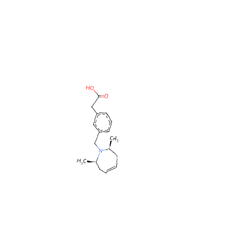 C[C@@H]1CC=CC[C@H](C)N1Cc1cccc(CC(=O)O)c1